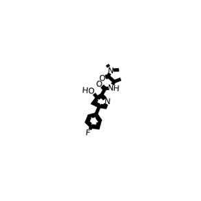 CC(NC(=O)c1ncc(-c2ccc(F)cc2)cc1O)C(=O)N(C)C